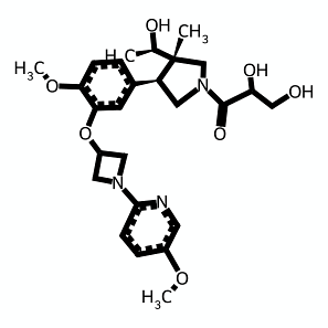 COc1ccc(N2CC(Oc3cc([C@@H]4CN(C(=O)C(O)CO)C[C@@]4(C)[C@@H](C)O)ccc3OC)C2)nc1